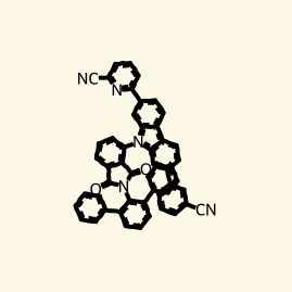 N#Cc1cccc(-c2ccc3c4ccc(-c5cccc(C#N)n5)cc4n(-c4cccc5c4C(=O)N(c4c(-c6ccccc6)cccc4-c4ccccc4)C5=O)c3c2)c1